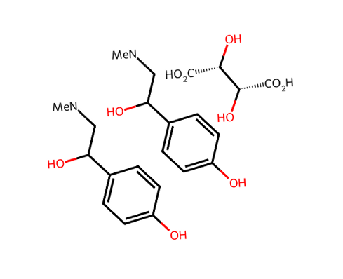 CNCC(O)c1ccc(O)cc1.CNCC(O)c1ccc(O)cc1.O=C(O)[C@H](O)[C@@H](O)C(=O)O